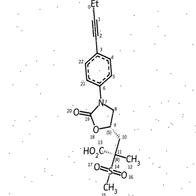 CCC#Cc1ccc(N2C[C@H](C[C@](C)(C(=O)O)S(C)(=O)=O)OC2=O)cc1